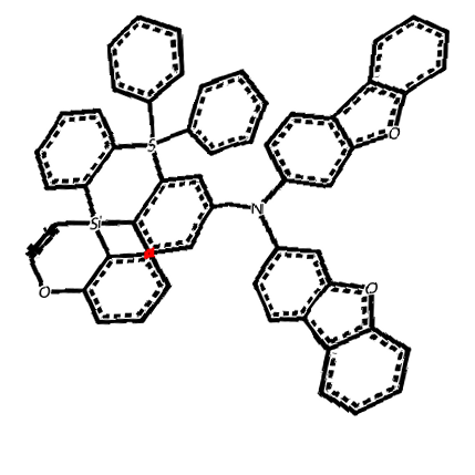 c1ccc(S2(c3ccccc3)c3ccccc3[Si]3(c4ccccc4Oc4ccccc43)c3ccc(N(c4ccc5c(c4)oc4ccccc45)c4ccc5c(c4)oc4ccccc45)cc32)cc1